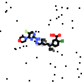 CC(/C=N\Nc1ncc(F)c(N2CCOCC2)n1)=C\C=C(/C)c1ccc(Cl)c(C(=O)O)c1